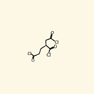 O=C(Cl)CCC(CC(=O)Cl)C(=O)Cl